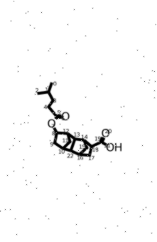 CC(C)CCC(=O)OC1CC2CC1C1C3CC(CC3C(=O)O)C21